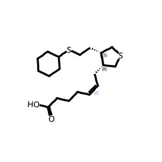 O=C(O)CCC/C=C\C[C@H]1CSC[C@H]1CCSC1CCCCC1